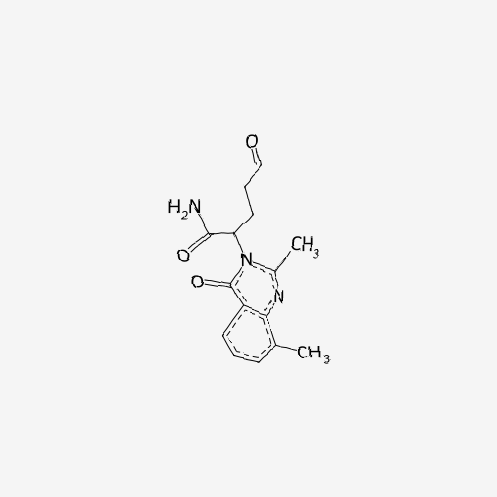 Cc1cccc2c(=O)n(C(CCC=O)C(N)=O)c(C)nc12